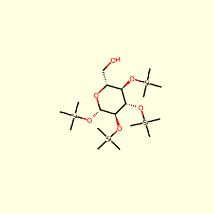 C[Si](C)(C)O[C@@H]1O[C@H](CO)[C@@H](O[Si](C)(C)C)[C@H](O[Si](C)(C)C)[C@H]1O[Si](C)(C)C